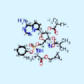 CC(C)C(=O)O[C@H]1[C@H](c2ccc3c(N)ncnn23)O[C@](C#N)(COP(=O)(NC(C)C(=O)OCC2CC2)Oc2ccccc2)[C@H]1OC(=O)C(C)C